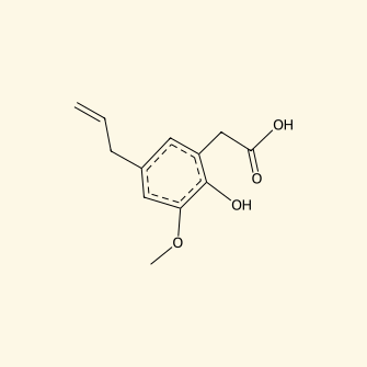 C=CCc1cc(CC(=O)O)c(O)c(OC)c1